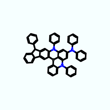 c1ccc(C2c3ccccc3-c3cc4c(cc32)N(c2ccccc2)c2cc(N(c3ccccc3)c3ccccc3)cc3c2B4c2ccccc2N3c2ccccc2)cc1